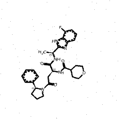 C[C@H](NC(=O)[C@H](CC(=O)N1CCC[C@H]1c1ccccc1)NC(=O)C1CCOCC1)c1nc2cccc(F)c2[nH]1